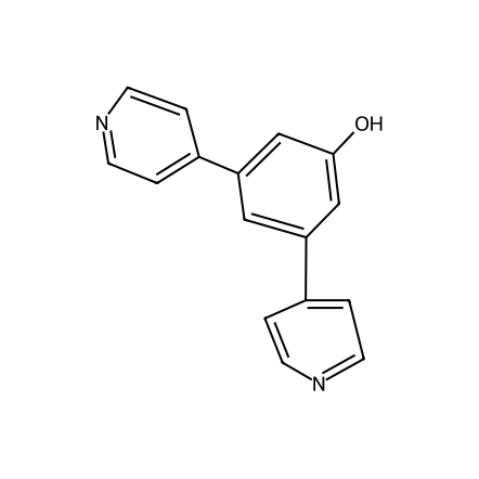 Oc1cc(-c2ccncc2)cc(-c2ccncc2)c1